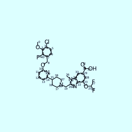 COc1c(Cl)ccc(COc2cccc(C3CCN(Cc4nc5c(OC(F)F)cc(C(=O)O)cc5n4C)CC3)n2)c1F